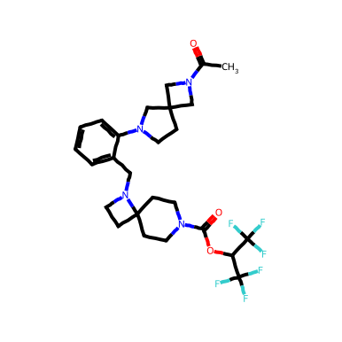 CC(=O)N1CC2(CCN(c3ccccc3CN3CCC34CCN(C(=O)OC(C(F)(F)F)C(F)(F)F)CC4)C2)C1